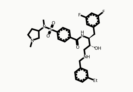 CCc1cccc(CNC[C@@H](O)[C@H](Cc2cc(F)cc(F)c2)NC(=O)c2ccc(S(=O)(=O)N(C)C3CCN(C)C3)cc2)c1